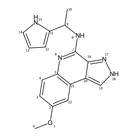 COc1ccc2nc(NC(C)c3ccc[nH]3)c3n[nH]cc3c2c1